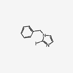 Ic1nccn1Cc1ccccc1